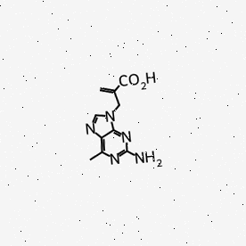 C=C(Cn1cnc2c(C)nc(N)nc21)C(=O)O